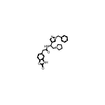 O=C(Cc1ccc2oc(=O)[nH]c2c1)NC(CN1CCCC1)c1cnn(Cc2ccccc2)c1